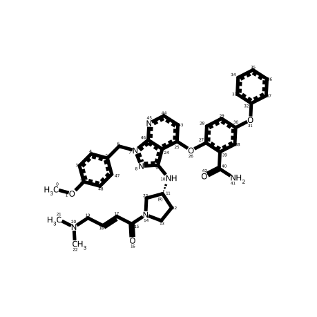 COc1ccc(Cn2nc(N[C@@H]3CCN(C(=O)C=CCN(C)C)C3)c3c(Oc4ccc(Oc5ccccc5)cc4C(N)=O)ccnc32)cc1